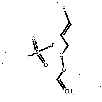 C=COOCC=CF.O=S(=O)(F)F